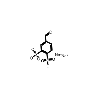 O=Cc1ccc(S(=O)(=O)[O-])c(S(=O)(=O)[O-])c1.[Na+].[Na+]